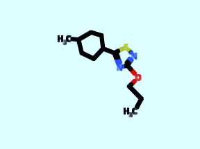 CCCOc1nsc(C2CCC(C)CC2)n1